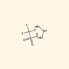 CCCCNCCCC.O=S(=O)(O)C(F)(F)F